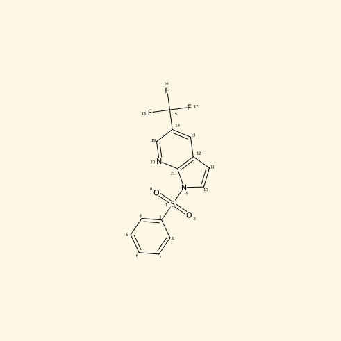 O=S(=O)(c1ccccc1)n1ccc2cc(C(F)(F)F)cnc21